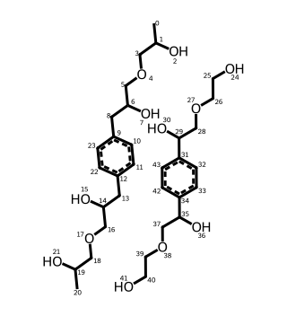 CC(O)COCC(O)Cc1ccc(CC(O)COCC(C)O)cc1.OCCOCC(O)c1ccc(C(O)COCCO)cc1